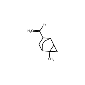 C=C(CC)C1CC2CCC1C1CC21C